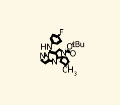 C[C@@H]1CCC2(C1)c1nc3ccnn3c(Nc3ccc(F)cc3)c1CN2C(=O)OC(C)(C)C